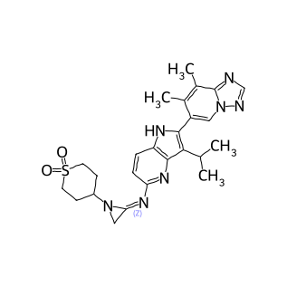 Cc1c(-c2[nH]c3ccc(/N=C4/CN4C4CCS(=O)(=O)CC4)nc3c2C(C)C)cn2ncnc2c1C